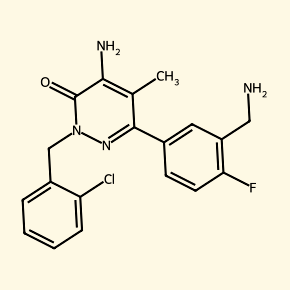 Cc1c(-c2ccc(F)c(CN)c2)nn(Cc2ccccc2Cl)c(=O)c1N